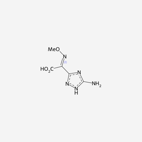 CO/N=C(\C(=O)O)c1n[nH]c(N)n1